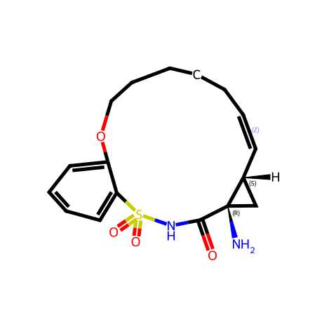 N[C@]12C[C@H]1/C=C\CCCCCOc1ccccc1S(=O)(=O)NC2=O